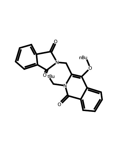 CCCCOc1c(CN2C(=O)c3ccccc3C2=O)n(CC(C)(C)C)c(=O)c2ccccc12